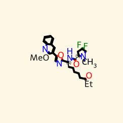 CCC(=O)CCCCC[C@H](NC(=O)[C@@H]1CC(F)(F)CN1C)c1ncc(-c2cc3ccccc3nc2OC)o1